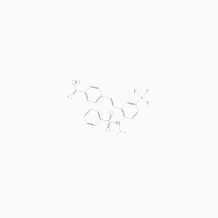 CC(C)N(c1ccc(C(F)(F)F)cc1C=Cc1ccc(C(=O)O)cc1)S(=O)(=O)c1ccccc1